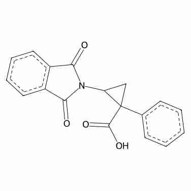 O=C1c2ccccc2C(=O)N1C1CC1(C(=O)O)c1ccccc1